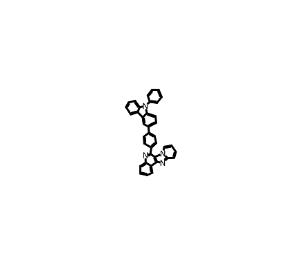 c1ccc(-n2c3ccccc3c3cc(-c4ccc(-c5nc6ccccc6c6nc7ccccn7c56)cc4)ccc32)cc1